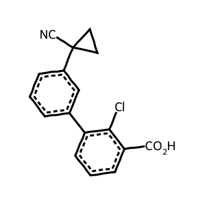 N#CC1(c2cccc(-c3cccc(C(=O)O)c3Cl)c2)CC1